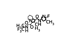 Cc1cc(NC(=O)c2c(C)c(C(=O)C(=O)N[C@H](C)C(F)(F)F)n3c2CCCC3)cnc1F